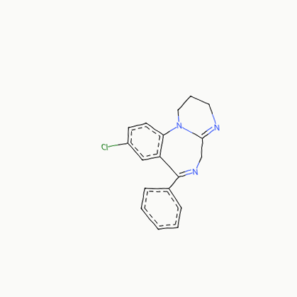 Clc1ccc2c(c1)C(c1ccccc1)=NCC1=NCCCN12